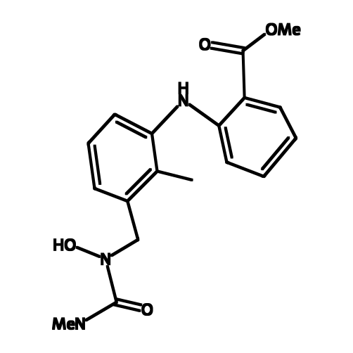 CNC(=O)N(O)Cc1cccc(Nc2ccccc2C(=O)OC)c1C